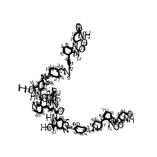 CN(CC#Cc1cccc2c1n(C)c(=O)n2C1CCC(=O)NC1=O)C[C@H]1CC[C@H](c2nc3cc(C(C)(C)O)c(NC(=O)c4ncccc4-c4cc(C(=O)Nc5cc6sc([C@H]7CC[C@H](CN8CCC(c9cccc%10c9n(C)c(=O)n%10C9CCC(=O)NC9=O)CC8)CC7)nc6cc5C(C)(C)O)nc(C(F)(F)F)n4)cc3s2)CC1